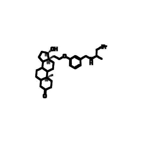 CC(C)CC(C)NCc1cccc(OCC[C@]23CCC4C(CCC5CC(=O)CC[C@@]54C)C2CC[C@@H]3O)c1